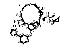 C[C@@H]1CC/C=C\[C@@H]2C[C@@]2(C(=O)NS(=O)(=O)C2(C)CC2)NC(=O)[C@@H]2C[C@@H](Oc3cc(-c4nccs4)ccn3)CN2C(=O)[C@@H](NC(=O)O)[C@H](C)C1